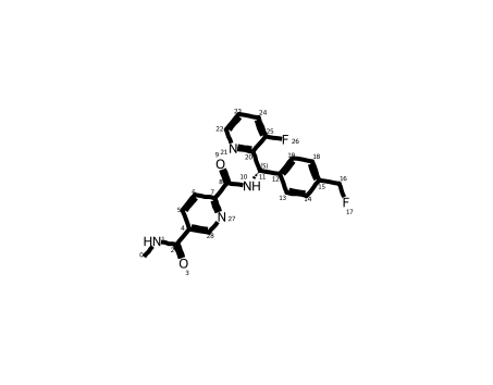 CNC(=O)c1ccc(C(=O)N[C@@H](c2ccc(CF)cc2)c2ncccc2F)nc1